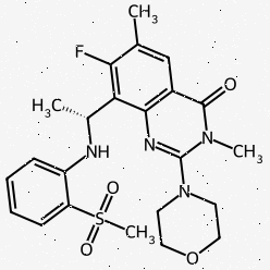 Cc1cc2c(=O)n(C)c(N3CCOCC3)nc2c([C@@H](C)Nc2ccccc2S(C)(=O)=O)c1F